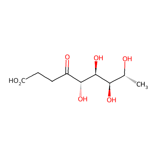 C[C@@H](O)[C@@H](O)[C@H](O)[C@H](O)C(=O)CCC(=O)O